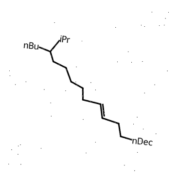 [CH2]CCCCCCCCCCCC=CCCCCCC(CCC[CH2])C(C)C